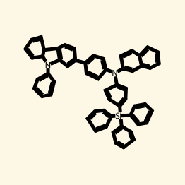 C1=CC2c3ccc(-c4ccc(N(c5ccc([Si](c6ccccc6)(c6ccccc6)c6ccccc6)cc5)c5ccc6ccccc6c5)cc4)cc3N(c3ccccc3)C2C=C1